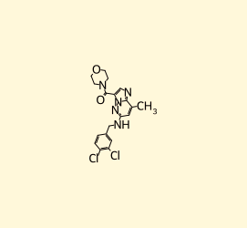 Cc1cc(NCc2ccc(Cl)c(Cl)c2)nn2c(C(=O)N3CCOCC3)cnc12